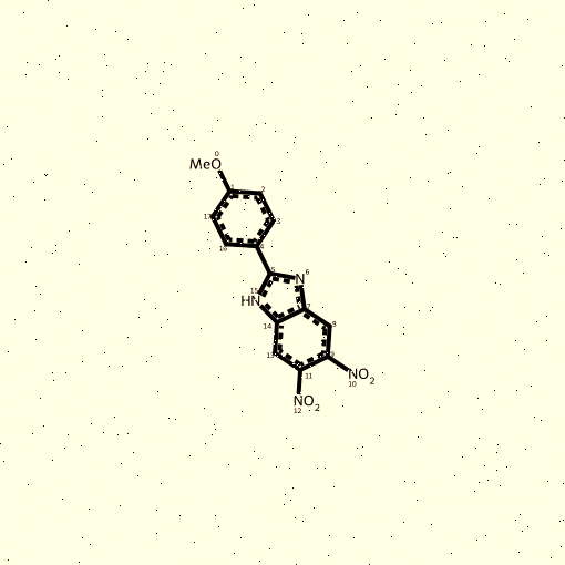 COc1ccc(-c2nc3cc([N+](=O)[O-])c([N+](=O)[O-])cc3[nH]2)cc1